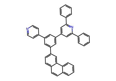 c1ccc(-c2cc(-c3cc(-c4ccncc4)cc(-c4ccc5ccc6ccccc6c5c4)c3)cc(-c3ccccc3)n2)cc1